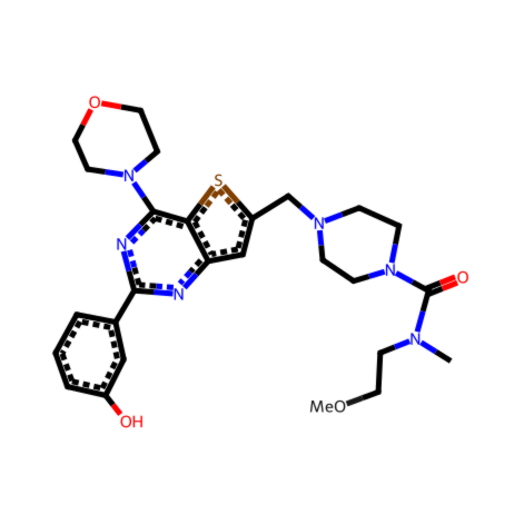 COCCN(C)C(=O)N1CCN(Cc2cc3nc(-c4cccc(O)c4)nc(N4CCOCC4)c3s2)CC1